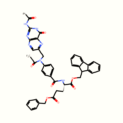 CC(C)C(=O)Nc1nc2ncc(CN(C(=O)C(F)(F)F)c3ccc(C(=O)N[C@@H](CCC(=O)OCc4ccccc4)C(=O)OCC4c5ccccc5-c5ccccc54)cc3)nc2c(=O)[nH]1